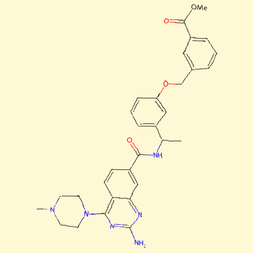 COC(=O)c1cccc(COc2cccc(C(C)NC(=O)c3ccc4c(N5CCN(C)CC5)nc(N)nc4c3)c2)c1